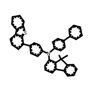 CC1(C)c2ccccc2-c2cccc(N(c3ccc(-c4ccccc4)cc3)c3ccc(-c4cccc5c4sc4ccccc45)cc3)c21